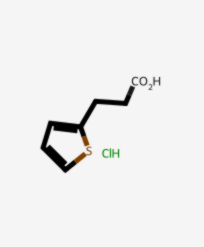 Cl.O=C(O)CCc1cccs1